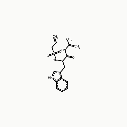 C=CCS(=O)(=O)NC(Cc1c[nH]c2ccccc12)C(=O)NC(=C)C